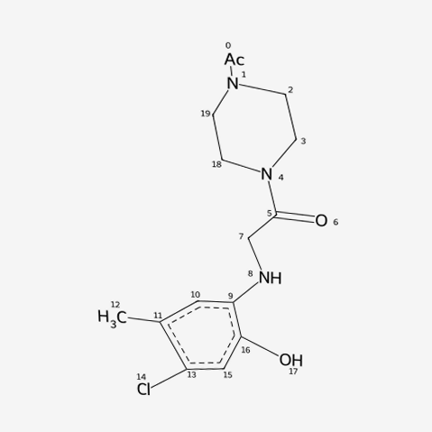 CC(=O)N1CCN(C(=O)CNc2cc(C)c(Cl)cc2O)CC1